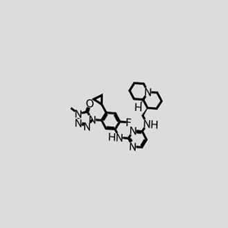 Cn1nnn(-c2cc(Nc3nccc(NC[C@@H]4CCCN5CCCC[C@H]45)n3)c(F)cc2C2CC2)c1=O